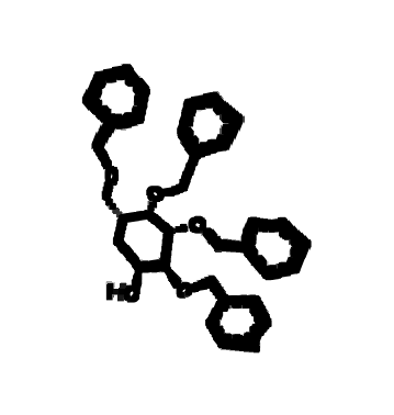 O[C@H]1C[C@H](COCc2ccccc2)[C@H](OCc2ccccc2)[C@H](OCc2ccccc2)[C@H]1OCc1ccccc1